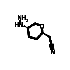 N#CC[C@H]1CC[C@H](NN)CO1